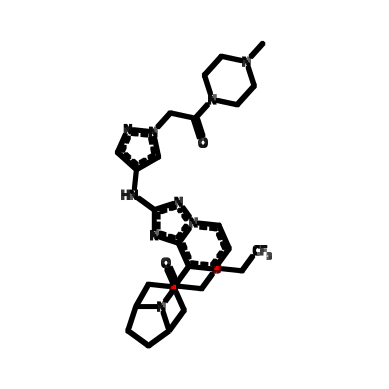 CN1CCN(C(=O)Cn2cc(Nc3nc4c(N5CC6CCC(C5)N6C(=O)COCC(F)(F)F)cccn4n3)cn2)CC1